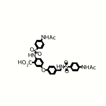 CC(=O)Nc1ccc(S(=O)(=O)NCc2ccc(Oc3ccc(NS(=O)(=O)c4ccc(NC(C)=O)cc4)c(C(=O)O)c3)cc2)cc1